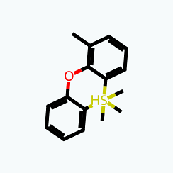 Cc1cccc2c1Oc1ccccc1[SH]2(C)(C)C